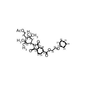 CC(=O)OCCN1C(C)(C)CC(N2C(=O)c3ccc(C(=O)OCCOc4ccccc4)cc3C2=O)CC1(C)C